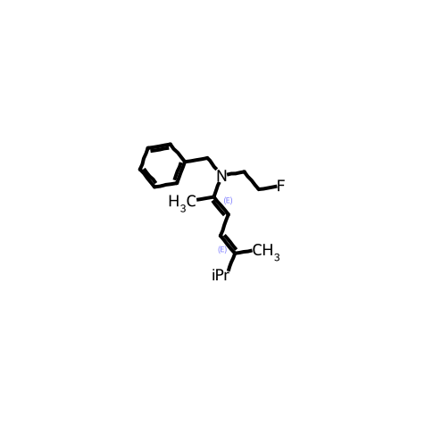 C/C(=C\C=C(/C)N(CCF)Cc1ccccc1)C(C)C